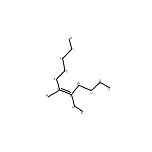 CCCCCC(C)=C(CC)CCCC